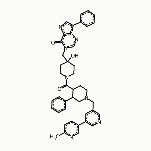 Cc1ccc(-c2cncc(CN3CCC(C(=O)N4CCC(O)(Cn5cnn6c(-c7ccccc7)cnc6c5=O)CC4)C(c4ccccc4)C3)c2)cn1